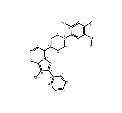 COc1cc(N2CCN(C(C=O)n3nc(-c4ncccn4)c(Cl)c3C)CC2)c(F)cc1Cl